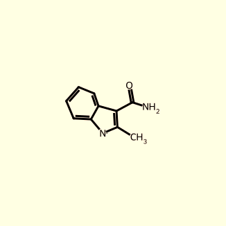 CC1=C(C(N)=O)c2ccccc2[N]1